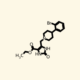 CCOC(=O)c1[nH]c(=O)[nH]c1CN1CCC(c2ccccc2Br)CC1